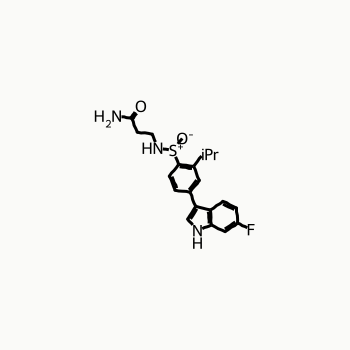 CC(C)c1cc(-c2c[nH]c3cc(F)ccc23)ccc1[S+]([O-])NCCC(N)=O